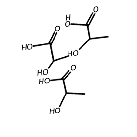 CC(O)C(=O)O.CC(O)C(=O)O.CC(O)C(=O)O